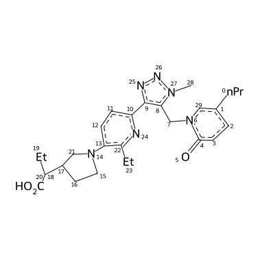 CCCc1ccc(=O)n(Cc2c(-c3ccc(N4CCC(C(CC)C(=O)O)C4)c(CC)n3)nnn2C)c1